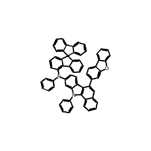 c1ccc(N(c2ccc3c4c(-c5ccc6c(c5)oc5ccccc56)cc5ccccc5c4n(-c4ccccc4)c3c2)c2cccc3c2-c2ccccc2C32c3ccccc3-c3ccccc32)cc1